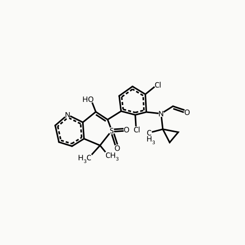 CC1(N(C=O)c2c(Cl)ccc(C3=C(O)c4ncccc4C(C)(C)S3(=O)=O)c2Cl)CC1